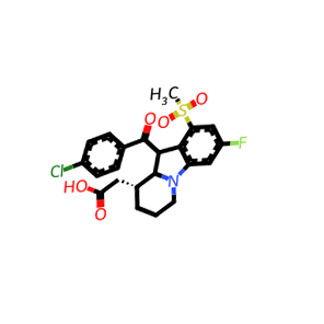 CS(=O)(=O)c1cc(F)cc2c1C(C(=O)c1ccc(Cl)cc1)C1[C@@H](CC(=O)O)CCCN21